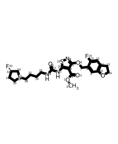 COC(=O)c1c(OCc2cc3c(cc2F)CCO3)nsc1NC(=O)NCCCCN1CC[C@H](F)C1